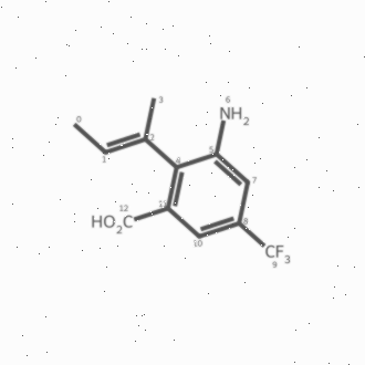 CC=C(C)c1c(N)cc(C(F)(F)F)cc1C(=O)O